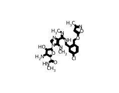 C=Nc1c(/C(=N\C)NCc2cc(Cl)ccc2COc2cc(C)no2)ncn1[C@@H]1O[C@H](C(=O)NC)C(N)C1O